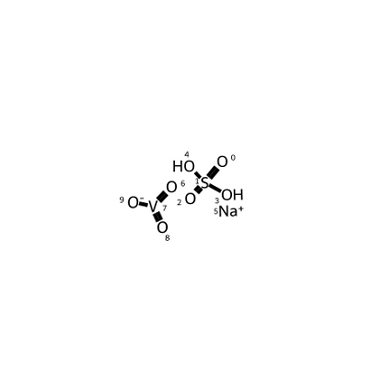 O=S(=O)(O)O.[Na+].[O]=[V](=[O])[O-]